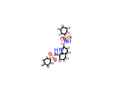 Cc1ccc(S(=O)(=O)Nc2cccc3ccc(CNS(=O)(=O)c4ccccc4)nc23)cc1